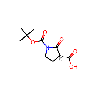 CC(C)(C)OC(=O)N1CC[C@@H](C(=O)O)C1=O